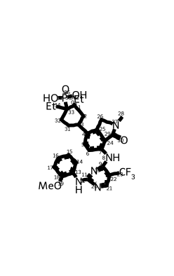 CCC1CC(c2ccc(Nc3nc(Nc4ccccc4OC)ncc3C(F)(F)F)c3c2CN(C)C3=O)CCC1(CC)P(=O)(O)O